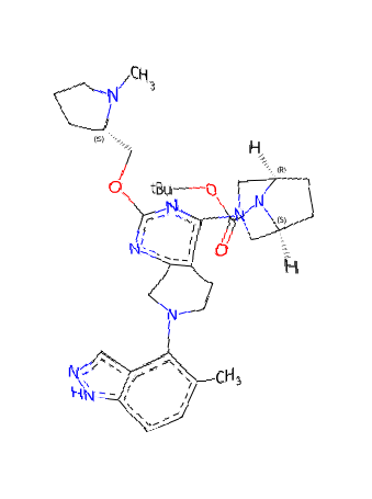 Cc1ccc2[nH]ncc2c1N1CCc2c(nc(OC[C@@H]3CCCN3C)nc2N2C[C@H]3CC[C@@H](C2)N3C(=O)OC(C)(C)C)C1